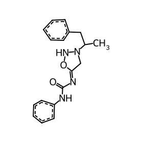 CC(Cc1ccccc1)N1CC(=NC(=O)Nc2ccccc2)ON1